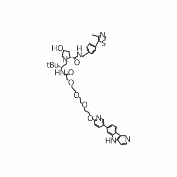 Cc1ncsc1-c1ccc(CNC(=O)[C@@H]2C[C@@H](O)CN2C[C@@H](NC(=O)COCCOCCOCCOc2ccc(-c3ccc4c(c3)[nH]c3ccncc34)cn2)C(C)(C)C)cc1